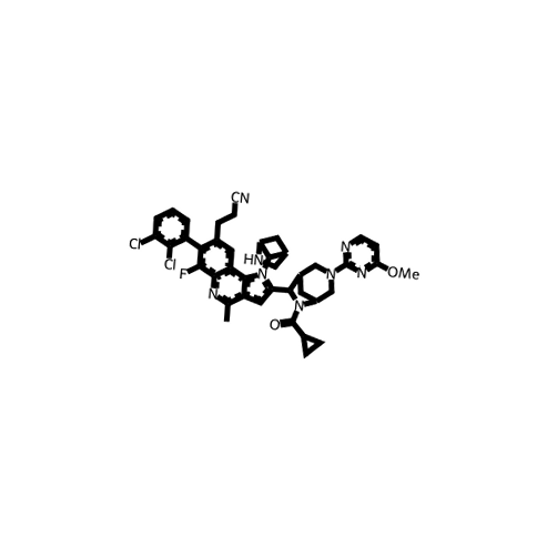 COc1ccnc(N2CC3CC(C2)N(C(=O)C2CC2)C3c2cc3c(C)nc4c(F)c(-c5cccc(Cl)c5Cl)c(CCC#N)cc4c3n2C2C3CNC2C3)n1